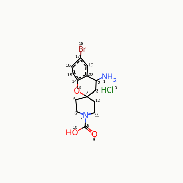 Cl.NC1CC2(CCN(C(=O)O)CC2)Oc2ccc(Br)cc21